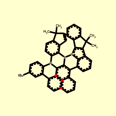 CC(C)(C)c1ccc(N2c3ccc4c(c3B3c5c2cc2ccccc2c5-c2cccc5c6c(n3c25)-c2ccccc2C6(C)C)-c2ccccc2C4(C)C)c(-c2ccccc2)c1